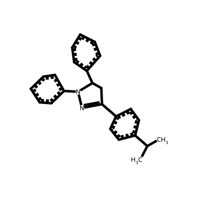 CC(C)c1ccc(C2=NN(c3ccccc3)C(c3ccccc3)C2)cc1